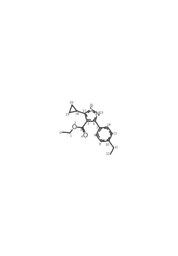 CCOC(=O)c1c(-c2ccc(CC)cc2)nsc1C1CC1